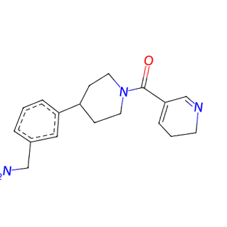 NCc1cccc(C2CCN(C(=O)C3=CCCN=C3)CC2)c1